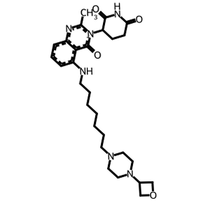 Cc1nc2cccc(NCCCCCCCN3CCN(C4COC4)CC3)c2c(=O)n1C1CCC(=O)NC1=O